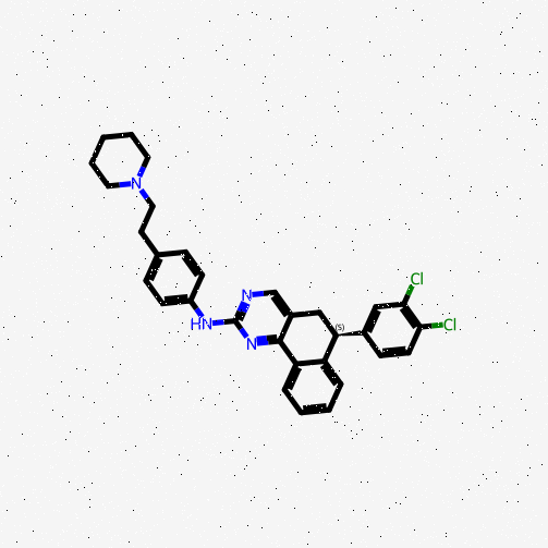 Clc1ccc([C@@H]2Cc3cnc(Nc4ccc(CCN5CCCCC5)cc4)nc3-c3ccccc32)cc1Cl